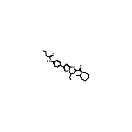 CCCC(=O)Nc1ccc(-c2cc3nc(C(=O)N4CCCCCC4C)cc(CC)n3n2)cc1